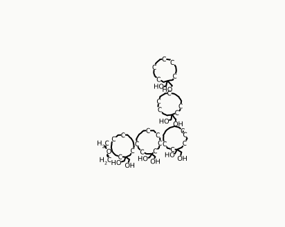 C=COC=C.OCC1(CO)CCCCCCCCCCCCCC1.OCC1(CO)CCCCCCCCCCCCCC1.OCC1(CO)CCCCCCCCCCCCCC1.OCC1(CO)CCCCCCCCCCCCCC1.OCC1(CO)CCCCCCCCCCCCCC1